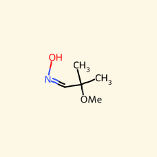 COC(C)(C)/C=N\O